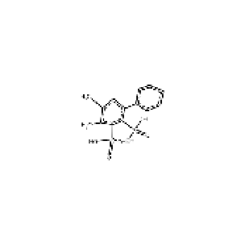 Cc1cc(-c2ccccc2)c(P(=O)(O)O)c(P(=O)(O)O)c1C